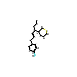 CCC[C](C=CCc1ccc(F)cc1)C1CCCSC1